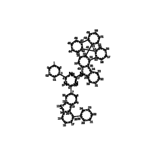 c1ccc(-c2nc(-c3ccc4c(c3)sc3cccc(-c5ccccc5)c34)nc(-n3c4ccccc4c4c5c(ccc43)C3(c4ccccc4-c4ccccc43)c3ccccc3-5)n2)cc1